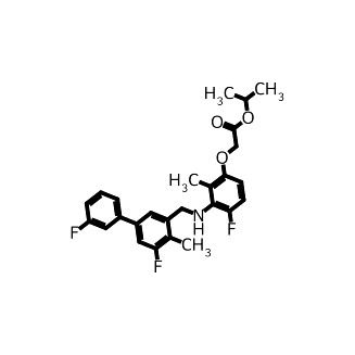 Cc1c(F)cc(-c2cccc(F)c2)cc1CNc1c(F)ccc(OCC(=O)OC(C)C)c1C